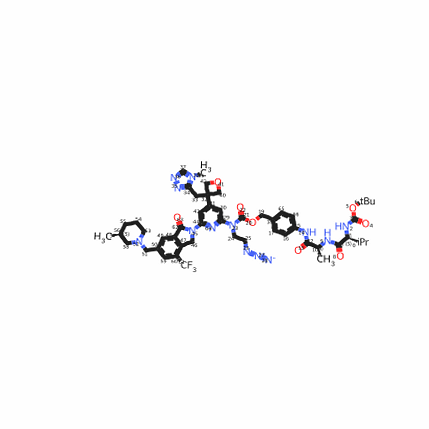 CC(C)[C@H](NC(=O)OC(C)(C)C)C(=O)N[C@@H](C)C(=O)Nc1ccc(COC(=O)N(CCN=[N+]=[N-])c2cc(C3(Cc4nncn4C)COC3)cc(N3Cc4c(cc(CN5CCC[C@H](C)C5)cc4C(F)(F)F)C3=O)n2)cc1